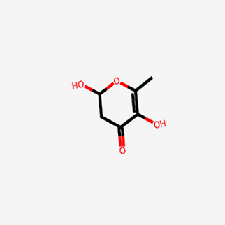 CC1=C(O)C(=O)CC(O)O1